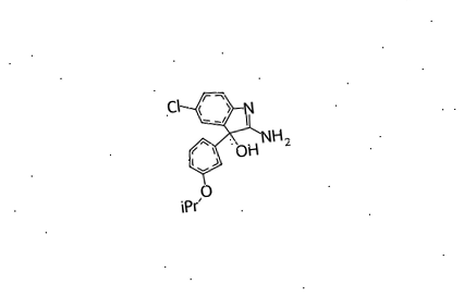 CC(C)Oc1cccc(C2(O)C(N)=Nc3ccc(Cl)cc32)c1